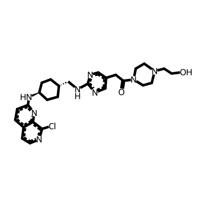 O=C(Cc1cnc(NC[C@H]2CC[C@H](Nc3ccc4ccnc(Cl)c4n3)CC2)nc1)N1CCN(CCO)CC1